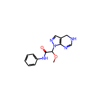 COC(C(=O)Nc1ccccc1)n1ncc2c1N=CNC2